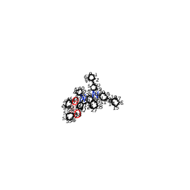 c1ccc(-c2ccc(N(c3ccc(-c4ccccc4)cc3)c3cc4c(c5ccccc35)c3cc5c6c(c3n4-c3ccccc3)Oc3ccccc3B6c3ccccc3O5)cc2)cc1